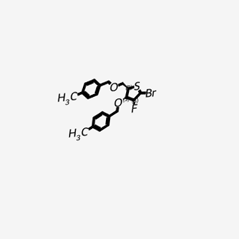 Cc1ccc(COC[C@H]2SC(Br)[C@@H](F)[C@@H]2OCc2ccc(C)cc2)cc1